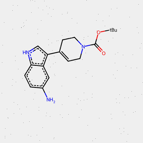 CC(C)(C)OC(=O)N1CC=C(c2c[nH]c3ccc(N)cc23)CC1